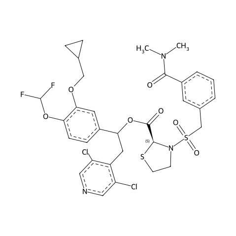 CN(C)C(=O)c1cccc(CS(=O)(=O)N2CCS[C@H]2C(=O)OC(Cc2c(Cl)cncc2Cl)c2ccc(OC(F)F)c(OCC3CC3)c2)c1